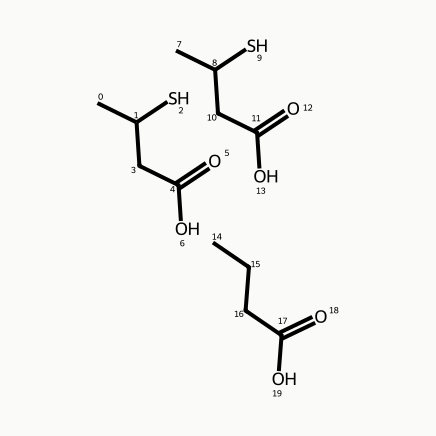 CC(S)CC(=O)O.CC(S)CC(=O)O.CCCC(=O)O